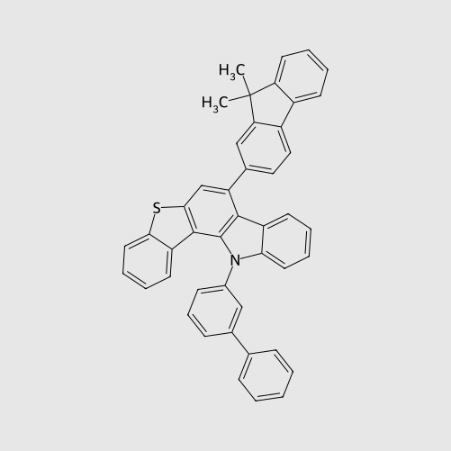 CC1(C)c2ccccc2-c2ccc(-c3cc4sc5ccccc5c4c4c3c3ccccc3n4-c3cccc(-c4ccccc4)c3)cc21